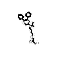 CNC(=O)COCCCCN(c1cnc(-c2ccccc2)c(-c2ccccc2)n1)C(C)C